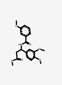 COC(=O)CC(NC(=O)c1cccc(OC)c1)c1ccc(OC)c(OC)c1